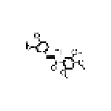 COc1cc(OC)c(C(=O)C(Cl)=Cc2ccc(OC)c(N(C)C)c2)cc1OC